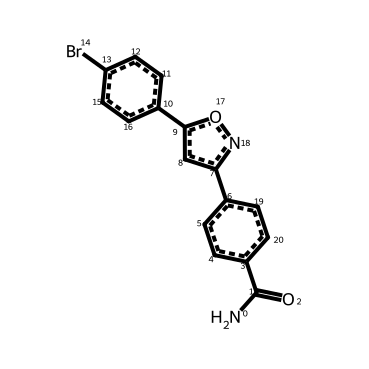 NC(=O)c1ccc(-c2cc(-c3ccc(Br)cc3)on2)cc1